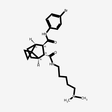 CN(C)CCCCCNC(=O)[C@H]1[C@H](C(=O)Nc2ccc(Br)cc2)[C@@H]2CC[C@H]1C21CC1